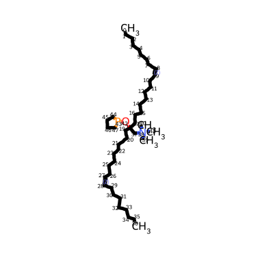 CCCCCCCC/C=C\CCCCCCCCC(CCCCCCCC/C=C\CCCCCCCC)(C[N+](C)(C)C)OP1CCCC1